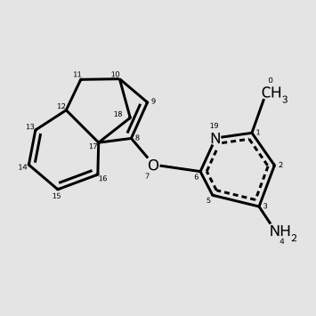 Cc1cc(N)cc(OC2=CC3CC4C=CC=CC24C3)n1